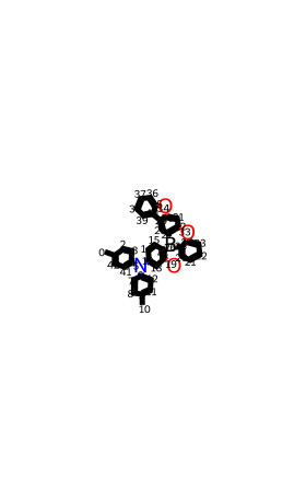 Cc1ccc(N(c2ccc(C)cc2)c2ccc3c(c2)Oc2cccc4c2B3c2cc3c(cc2O4)oc2ccccc23)cc1